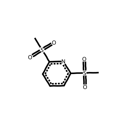 CS(=O)(=O)c1cccc(S(C)(=O)=O)n1